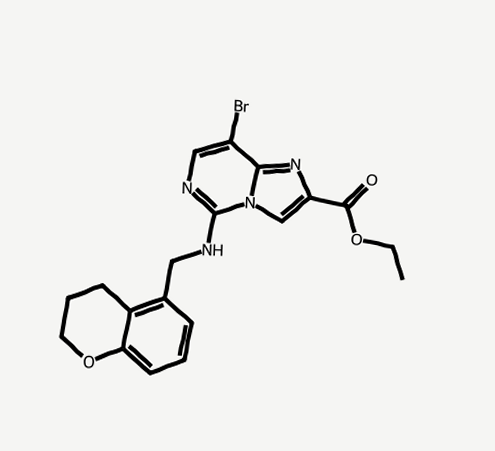 CCOC(=O)c1cn2c(NCc3cccc4c3CCCO4)ncc(Br)c2n1